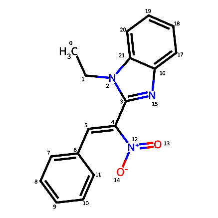 CCn1c(C(=Cc2ccccc2)[N+](=O)[O-])nc2ccccc21